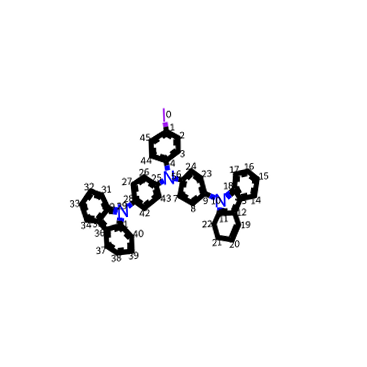 Ic1ccc(N(c2ccc(-n3c4c(c5ccccc53)C=CCC4)cc2)c2ccc(-n3c4ccccc4c4ccccc43)cc2)cc1